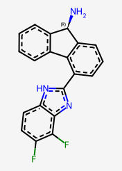 N[C@@H]1c2ccccc2-c2c(-c3nc4c(F)c(F)ccc4[nH]3)cccc21